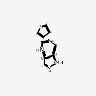 c1ccsc1.c1ncc2[nH]ncc2n1